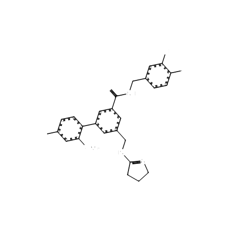 COc1cc(F)ccc1-c1cc(CNC2=NCCC2)cc(C(=O)NCc2ccc(Cl)c(C)c2)c1